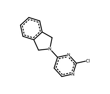 Clc1nccc(N2Cc3ccccc3C2)n1